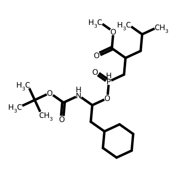 COC(=O)C(CC(C)C)C[PH](=O)OC(CC1CCCCC1)NC(=O)OC(C)(C)C